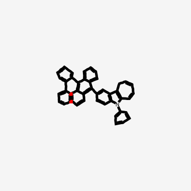 C1=CCc2c(n(-c3ccccc3)c3ccc(-c4c5ccccc5c(-c5ccccc5-c5ccccc5)c5ccccc45)cc23)C=C1